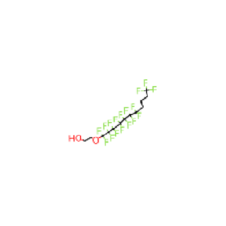 OCCOC(F)(F)C(F)(F)C(F)(F)C(F)(F)C(F)(F)C(F)(F)C(F)(F)CCCC(F)(F)F